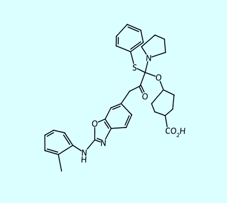 Cc1ccccc1Nc1nc2ccc(CC(=O)C(OC3CCC(C(=O)O)CC3)(Sc3ccccc3)N3CCCC3)cc2o1